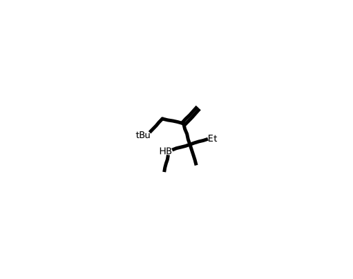 C=C(CC(C)(C)C)C(C)(BC)CC